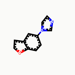 [c]1cn(-c2ccc3occc3c2)cn1